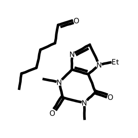 CCCCCC=O.CCn1cnc2c1c(=O)n(C)c(=O)n2C